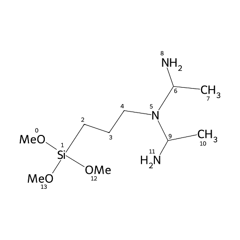 CO[Si](CCCN(C(C)N)C(C)N)(OC)OC